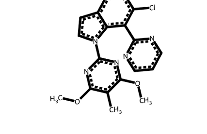 COc1nc(-n2ccc3ccc(Cl)c(-c4ncccn4)c32)nc(OC)c1C